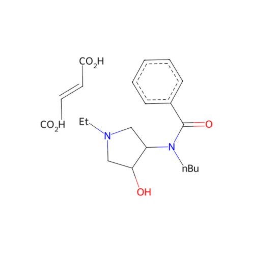 CCCCN(C(=O)c1ccccc1)C1CN(CC)CC1O.O=C(O)C=CC(=O)O